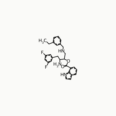 CCc1cccc(CNCC(OC(=O)c2cccc3cc[nH]c23)C(N)Cc2cc(F)cc(F)c2)c1